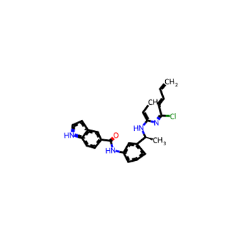 C=C/C=C/C(Cl)=N\C(=C/C)N[C@@H](C)c1cccc(NC(=O)c2ccc3[nH]ccc3c2)c1